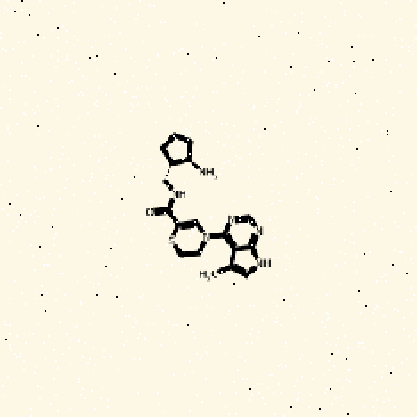 Cc1c[nH]c2ncnc(N3C=C(C(=O)NC[C@@H]4CCC[C@H]4N)SCC3)c12